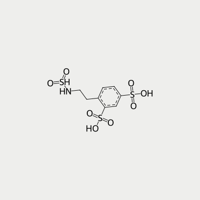 O=[SH](=O)NCCc1ccc(S(=O)(=O)O)cc1S(=O)(=O)O